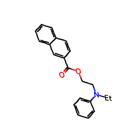 CCN(CCOC(=O)c1ccc2ccccc2c1)c1ccccc1